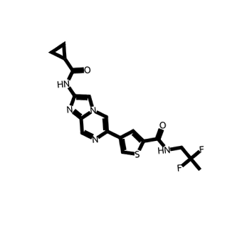 CC(F)(F)CNC(=O)c1cc(-c2cn3cc(NC(=O)C4CC4)nc3cn2)cs1